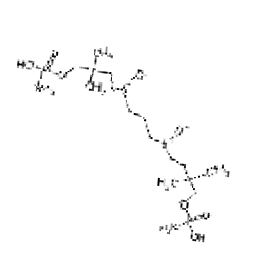 CC(C)(CC[S+]([O-])CCC[S+]([O-])CCC(C)(C)COP(N)(=O)O)COP(N)(=O)O